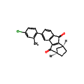 Cc1cc(Cl)ccc1-c1ccc2c(c1)C1=C(C2=O)[C@H]2CC[C@H](C2)C1=O